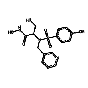 O=C(NO)[C@@H](CO)N(Cc1cccnc1)S(=O)(=O)c1ccc(O)cc1